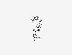 Cc1cnc(NC2CCC(NC(=O)c3ccc(F)c(Cl)c3)CC2)cc1N(C)C.Cl